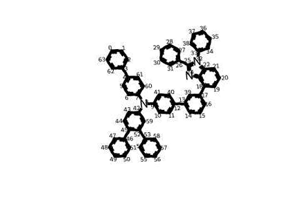 c1ccc(-c2ccc(N(c3ccc(-c4cccc(-c5cccc6c5nc(-c5ccccc5)n6-c5ccccc5)c4)cc3)c3ccc(-c4ccccc4)c(-c4ccccc4)c3)cc2)cc1